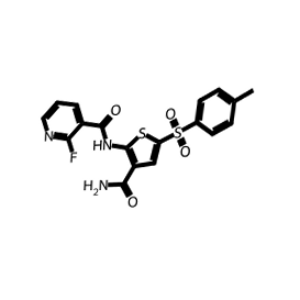 Cc1ccc(S(=O)(=O)c2cc(C(N)=O)c(NC(=O)c3cccnc3F)s2)cc1